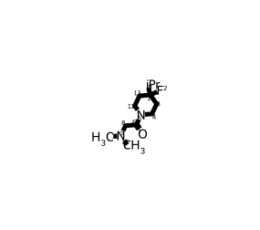 CC(C)C1(F)CCN(C(=O)CN(C)C)CC1